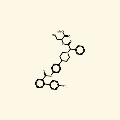 COC(=O)C(CO)NC(=O)C(c1ccccc1)N1CCC(c2ccc(NC(=O)c3ccccc3-c3ccc(C(F)(F)F)cc3)cc2)CC1